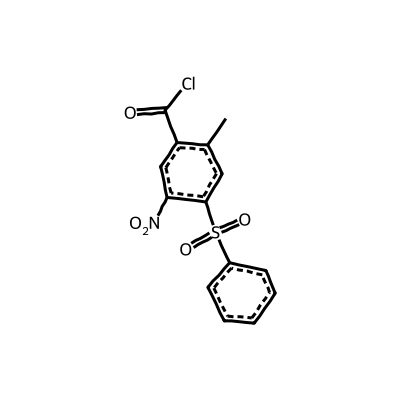 Cc1cc(S(=O)(=O)c2ccccc2)c([N+](=O)[O-])cc1C(=O)Cl